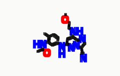 COCCNC1=CC(Nc2ccc(C)c(NC(C)=O)c2)=NN2C1=NCC2C#N